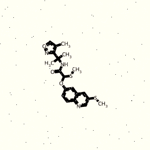 CSc1cnc2ccc(OC(SC)C(=O)NC(C)(C)c3nocc3C)cc2c1